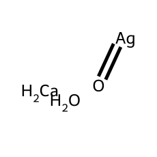 O.[CaH2].[O]=[Ag]